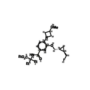 CCOC(=O)C(CC)(CC)NC(=O)c1ccc(N2CC(OC)C2)c(OC[C@@H]2C[C@H]2CF)n1